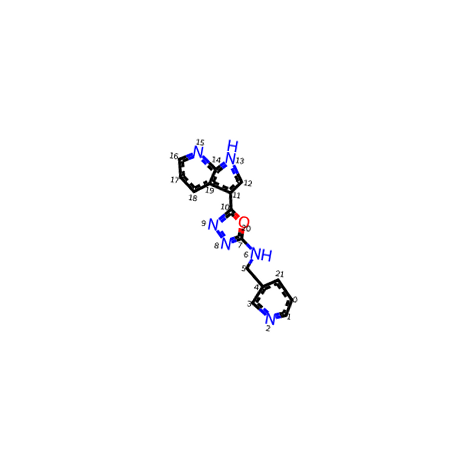 c1cncc(CNc2nnc(-c3c[nH]c4ncccc34)o2)c1